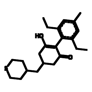 CCc1cc(C)cc(CC)c1C1=C(O)CC(CC2CCSCC2)CC1=O